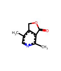 Cc1cnc(C)c2c1COC2=O